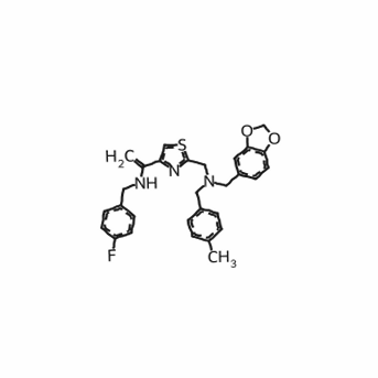 C=C(NCc1ccc(F)cc1)c1csc(CN(Cc2ccc(C)cc2)Cc2ccc3c(c2)OCO3)n1